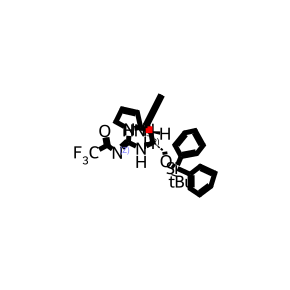 C=C1N[C@H]2[C@H](CO[Si](c3ccccc3)(c3ccccc3)C(C)(C)C)N/C(=N/C(=O)C(F)(F)F)N3CC=CC23N1